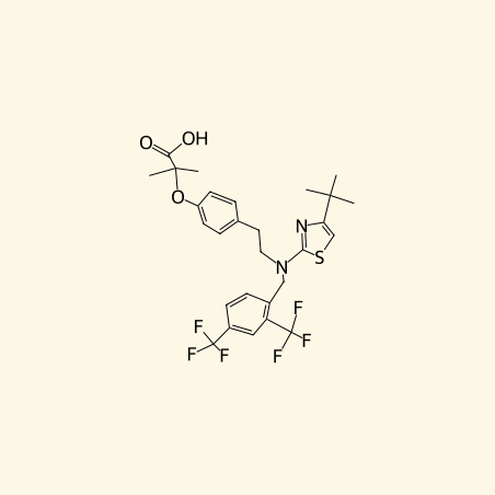 CC(C)(Oc1ccc(CCN(Cc2ccc(C(F)(F)F)cc2C(F)(F)F)c2nc(C(C)(C)C)cs2)cc1)C(=O)O